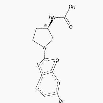 O=C(O)N[C@@H]1CCN(c2nc3ccc(Br)cc3o2)C1